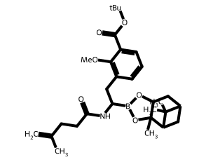 C=C(C)CCC(=O)NC(Cc1cccc(C(=O)OC(C)(C)C)c1OC)B1OC2CC3CC(C3(C)C)C2(C)O1